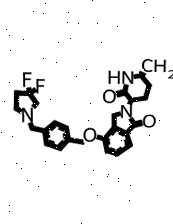 C=C1CCC(N2Cc3c(OCc4ccc(CN5CCC(F)(F)C5)cc4)cccc3C2=O)C(=O)N1